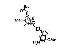 COC(=O)[C@H](C)NP(=O)(OCCSC(=O)C(C)(C)C)OC[C@H]1C[C@@H](n2cnc3c(OC)nc(N)nc32)C1